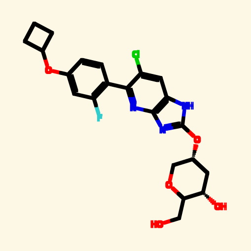 OCC1OC[C@H](Oc2nc3nc(-c4ccc(OC5CCC5)cc4F)c(Cl)cc3[nH]2)C[C@@H]1O